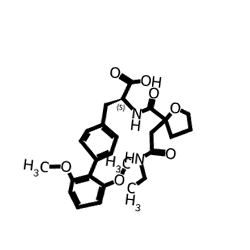 CCNC(=O)CC1(C(=O)N[C@@H](Cc2ccc(-c3c(OC)cccc3OC)cc2)C(=O)O)CCCO1